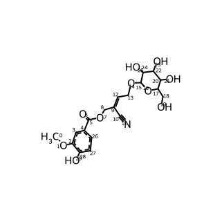 COc1cc(C(=O)OCC(C#N)=CCOC2OC(CO)C(O)C(O)C2O)ccc1O